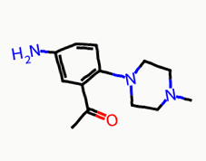 CC(=O)c1cc(N)ccc1N1CCN(C)CC1